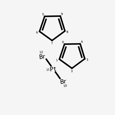 C1=CCC=C1.C1=CCC=C1.[Br][Pt][Br]